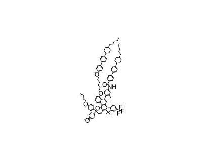 CCCCCC1CCC(c2ccc(-c3ccc(OCCCCCCOc4cccc5c4c(-c4ccc(NC(=O)c6ccc(-c7ccc(C8CCC(CCCCC)CC8)cc7)cc6)cc4C)cc4c6c(c7c(c45)OC(c4ccc(OC)cc4)(c4ccc(OCCCC)cc4)C=C7)C(C)(C)c4cc(C(F)(F)F)ccc4-6)cc3)cc2)CC1